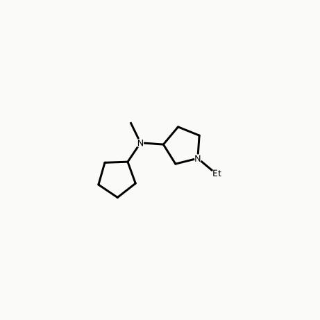 CCN1CCC(N(C)C2CCCC2)C1